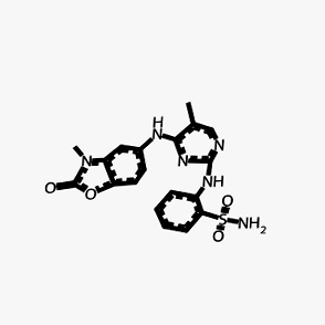 Cc1cnc(Nc2ccccc2S(N)(=O)=O)nc1Nc1ccc2oc(=O)n(C)c2c1